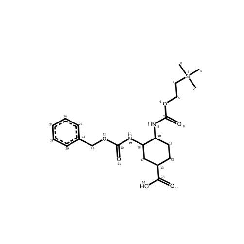 C[Si](C)(C)CCOC(=O)NC1CCC(C(=O)O)CC1NC(=O)OCc1ccccc1